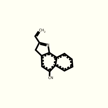 C=CC1=Nc2c(cc(C#N)c3ccccc23)C1